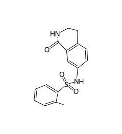 Cc1ccccc1S(=O)(=O)Nc1ccc2c(c1)C(=O)NCC2